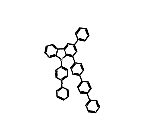 c1ccc(-c2ccc(-c3ccc(-c4cc(-c5ccccc5)cc5c6ccccc6n(-c6ccc(-c7ccccc7)cc6)c45)cc3)cc2)cc1